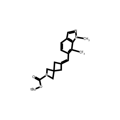 Cn1ncc2ccc(C=C3CC4(C3)CN(C(=O)OC(C)(C)C)C4)c(C(F)(F)F)c21